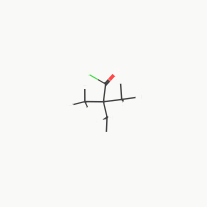 [2H]C([2H])([2H])C(C(=O)Cl)(C([2H])([2H])[2H])C([2H])([2H])[2H]